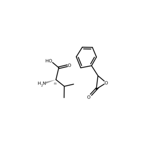 CC(C)[C@H](N)C(=O)O.O=C1OC1c1ccccc1